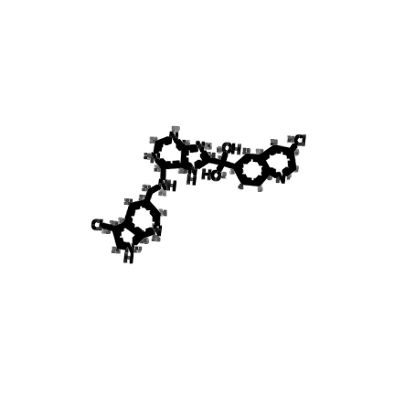 OC(O)(c1ccc2ncc(Cl)cc2c1)c1nc2ncnc(NCc3cnc4[nH]cc(Cl)c4c3)c2[nH]1